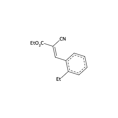 CCOC(=O)/C(C#N)=C/c1ccccc1CC